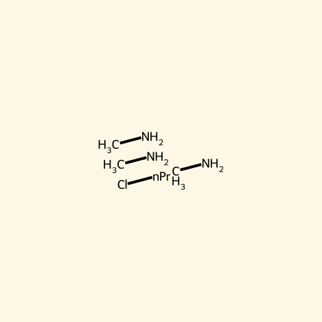 CN.CN.CN.[CH2]CCCl